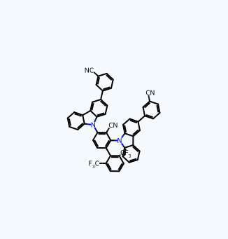 N#Cc1cccc(-c2ccc3c(c2)c2ccccc2n3-c2ccc(-c3c(C(F)(F)F)cccc3C(F)(F)F)c(-n3c4ccccc4c4cc(-c5cccc(C#N)c5)ccc43)c2C#N)c1